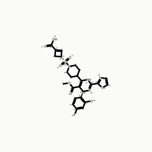 COC(=O)C1=C(C2CCN(S(=O)(=O)[C@H]3C=C(C(=O)O)C3)CC2)NC(c2nccs2)=N[C@H]1c1ccc(F)cc1Cl